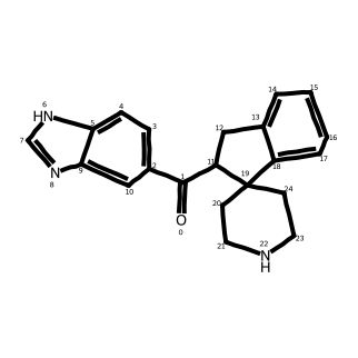 O=C(c1ccc2[nH]cnc2c1)C1Cc2ccccc2C12CCNCC2